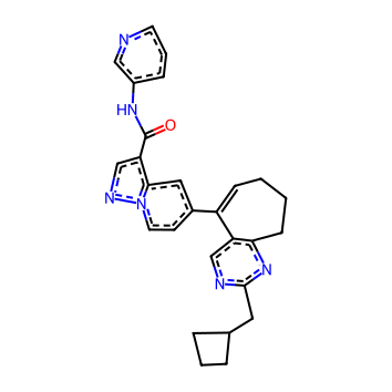 O=C(Nc1cccnc1)c1cnn2ccc(C3=CCCCc4nc(CC5CCC5)ncc43)cc12